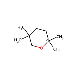 CC1(C)CC[Si](C)(C)OC1